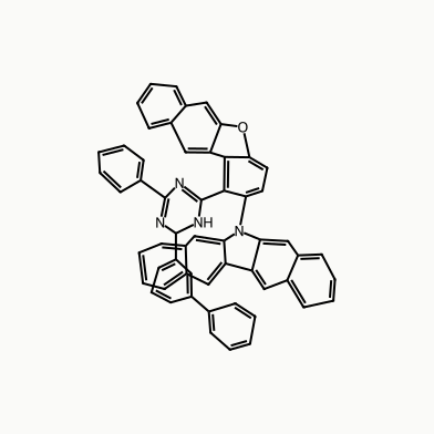 c1ccc(C2=NC(c3cccc(-c4ccccc4)c3)NC(c3c(-n4c5cc6ccccc6cc5c5cc6ccccc6cc54)ccc4oc5cc6ccccc6cc5c34)=N2)cc1